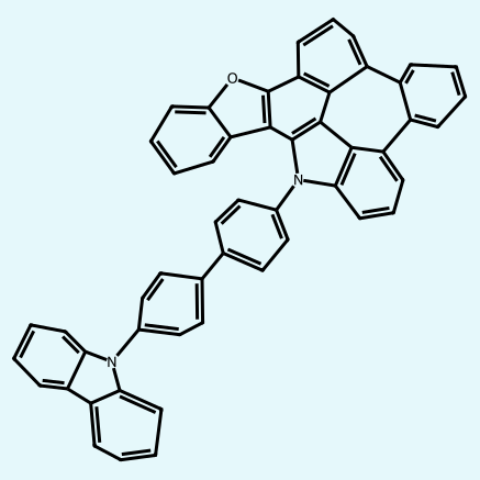 c1ccc2c(c1)-c1cccc3c4oc5ccccc5c4c4c(c13)c1c-2cccc1n4-c1ccc(-c2ccc(-n3c4ccccc4c4ccccc43)cc2)cc1